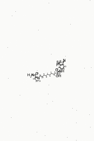 CC(O)(CCCCCCCCCN1CCC[C@H]1C(N)=O)C(=O)Nc1ccc(C#N)c(C(F)(F)F)c1